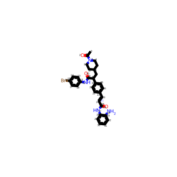 CC(=O)N1CCC(CC(C(=O)Nc2ccc(Br)cc2)c2ccc(/C=C/C(=O)Nc3ccccc3N)cc2)CC1